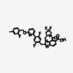 CC(=O)N1CC(F)(F)C[C@@H]1Cn1c(Cc2cc(F)c(-c3cccc(OCc4ccc(C)cc4F)n3)cc2F)nc2ccc(C(=O)O)cc21